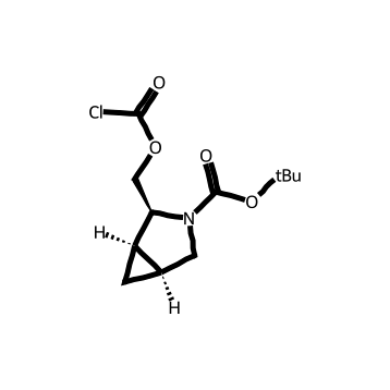 CC(C)(C)OC(=O)N1C[C@H]2C[C@H]2[C@H]1COC(=O)Cl